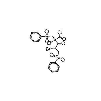 O=C(Cl)C(Cl)(CS(=O)(=O)c1ccccc1)C(=O)C(Br)CS(=O)(=O)c1ccccc1